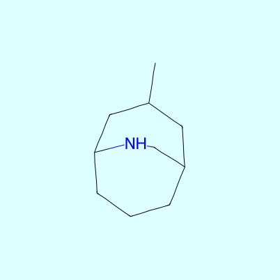 CC1CC2CCCC(C1)NC2